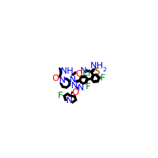 N#Cc1c(N)sc2c(F)ccc(-c3c(Cl)c4c5c(nc(OC[C@@]67CCCN6C[C@H](F)C7)nc5c3F)N(C3CCCCN(C(=O)C5CN5)C3)CCO4)c12